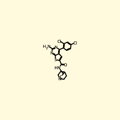 Nc1nc(-c2ccc(Cl)cc2Cl)c2cc(C(=O)NC3CN4CCC3CC4)sc2n1